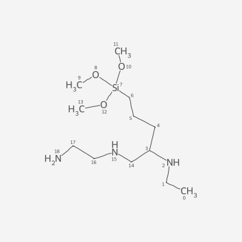 CCNC(CCC[Si](OC)(OC)OC)CNCCN